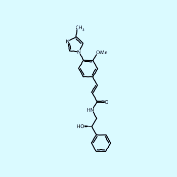 COc1cc(C=CC(=O)NC[C@H](O)c2ccccc2)ccc1-n1cnc(C)c1